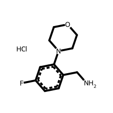 Cl.NCc1ccc(F)cc1N1CCOCC1